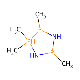 CP1NP(C)[PH](C)(C)N1